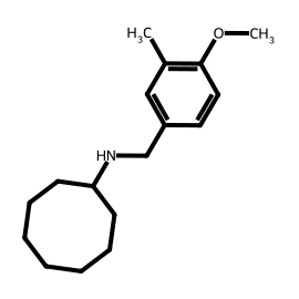 COc1ccc(CNC2CCCCCCC2)cc1C